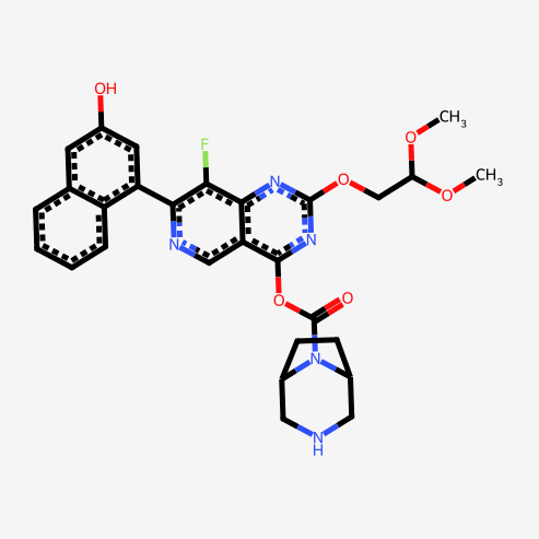 COC(COc1nc(OC(=O)N2C3CCC2CNC3)c2cnc(-c3cc(O)cc4ccccc34)c(F)c2n1)OC